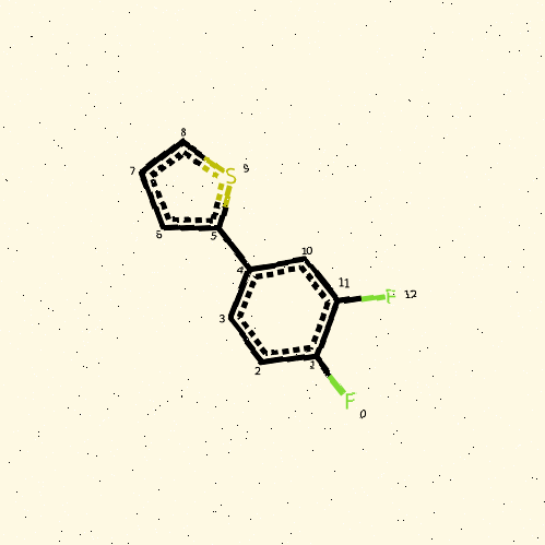 Fc1ccc(-c2c[c]cs2)cc1F